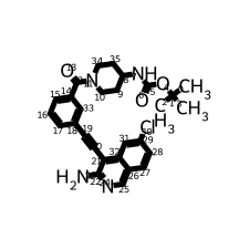 CC(C)(C)OC(=O)NC1CCN(C(=O)c2cccc(C#Cc3c(N)ncc4ccc(Cl)cc34)c2)CC1